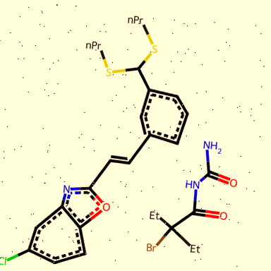 CCC(Br)(CC)C(=O)NC(N)=O.CCCSC(SCCC)c1cccc(/C=C/c2nc3cc(Cl)ccc3o2)c1